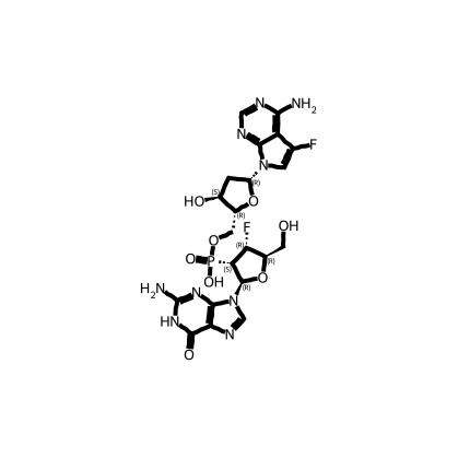 Nc1nc2c(ncn2[C@@H]2O[C@H](CO)[C@@H](F)[C@H]2P(=O)(O)OC[C@H]2O[C@@H](n3cc(F)c4c(N)ncnc43)C[C@@H]2O)c(=O)[nH]1